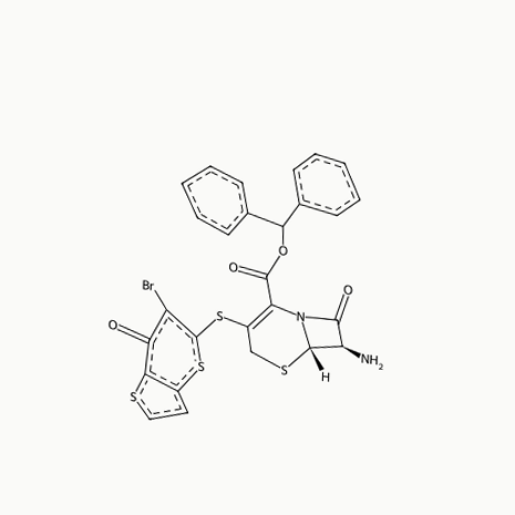 N[C@@H]1C(=O)N2C(C(=O)OC(c3ccccc3)c3ccccc3)=C(Sc3sc4ccsc4c(=O)c3Br)CS[C@@H]12